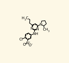 CCCc1cc(N2CCCC2C)nc(Nc2ccc(Cl)c([N+](=O)[O-])c2)n1